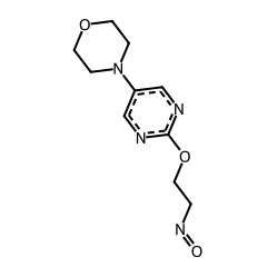 O=NCCOc1ncc(N2CCOCC2)cn1